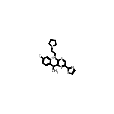 CC(c1ccc(F)cc1)c1nc(-c2nccs2)cnc1NCCN1CCCC1